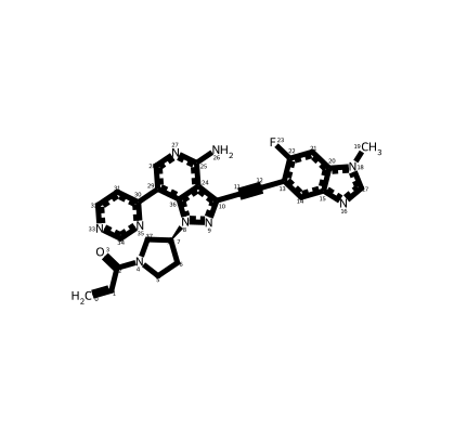 C=CC(=O)N1CC[C@H](n2nc(C#Cc3cc4ncn(C)c4cc3F)c3c(N)ncc(-c4ccncn4)c32)C1